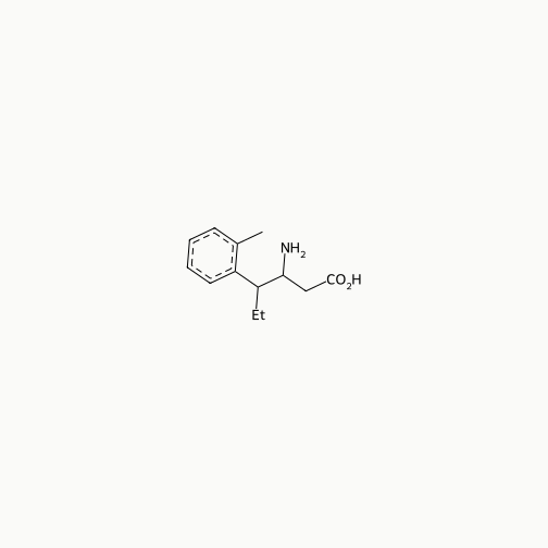 CCC(c1ccccc1C)C(N)CC(=O)O